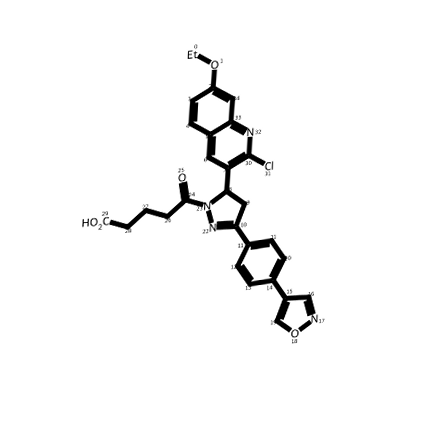 CCOc1ccc2cc(C3CC(c4ccc(-c5cnoc5)cc4)=NN3C(=O)CCCC(=O)O)c(Cl)nc2c1